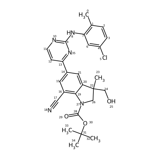 Cc1ccc(Cl)cc1Nc1nccc(-c2cc(C#N)c3c(c2)C(C)(CO)CN3C(=O)OC(C)(C)C)n1